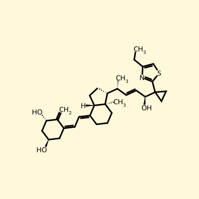 C=C1/C(=C\C=C2/CCC[C@]3(C)[C@@H]([C@H](C)/C=C/[C@H](O)C4(c5nc(CC)cs5)CC4)CC[C@@H]23)C[C@@H](O)C[C@@H]1O